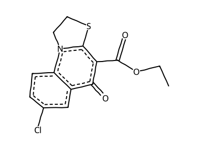 CCOC(=O)c1c2n(c3ccc(Cl)cc3c1=O)CCS2